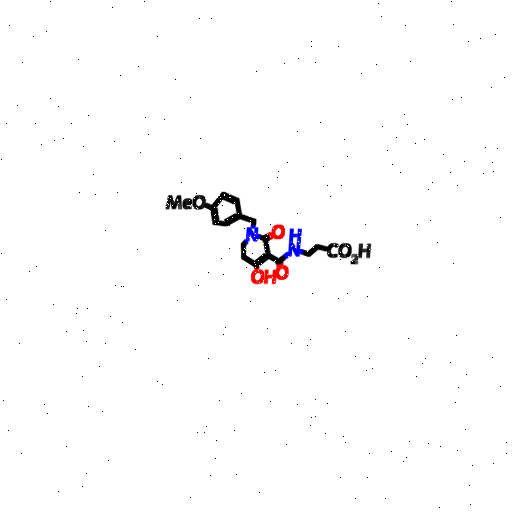 COc1ccc(CN2CCC(O)=C(C(=O)NCCC(=O)O)C2=O)cc1